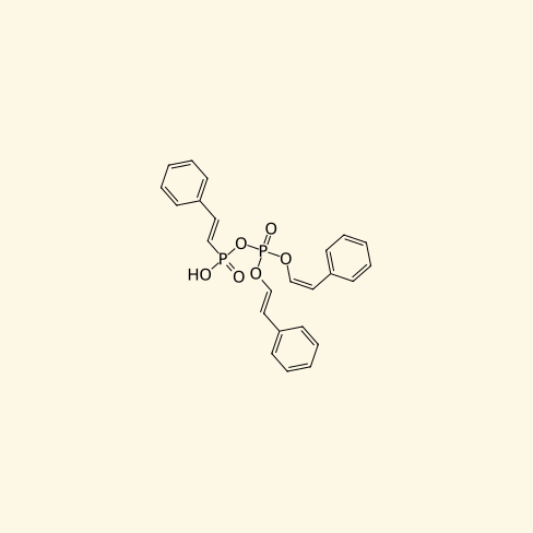 O=P(O)(C=Cc1ccccc1)OP(=O)(OC=Cc1ccccc1)OC=Cc1ccccc1